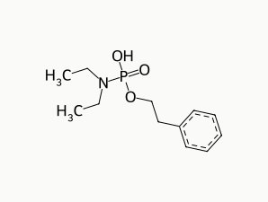 CCN(CC)P(=O)(O)OCCc1ccccc1